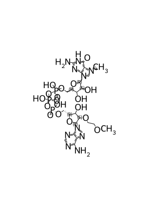 COCCO[C@H]1C(O)[C@@H](COP(=O)(O)OP(=O)(O)OP(=O)(O)OC[C@H]2O[C@@H](n3c[n+](C)c4c(=O)[nH]c(N)nc43)[C@@H](O)C2O)O[C@H]1n1cnc2c(N)ncnc21